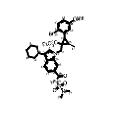 CCOC(=O)C1(Cn2cc(C3CCCCC3)c3ccc(C(=O)NS(=O)(=O)N(C)C)cc32)C(c2cc(OC)ccc2Br)[C@H]1C